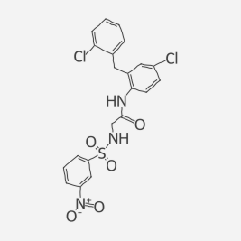 O=C(CNS(=O)(=O)c1cccc([N+](=O)[O-])c1)Nc1ccc(Cl)cc1Cc1ccccc1Cl